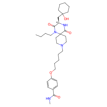 CCCCN1C(=O)[C@@H](CC2(O)CCCCC2)NC(=O)C12CCN(CCCCCOc1ccc(C(=O)NC)cc1)CC2